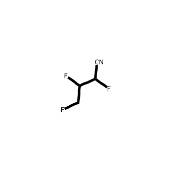 N#CC(F)C(F)CF